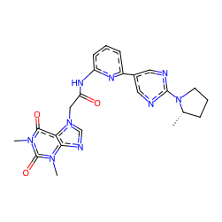 C[C@H]1CCCN1c1ncc(-c2cccc(NC(=O)Cn3cnc4c3c(=O)n(C)c(=O)n4C)n2)cn1